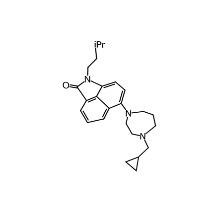 CC(C)CCN1C(=O)c2cccc3c(N4CCCN(CC5CC5)CC4)ccc1c23